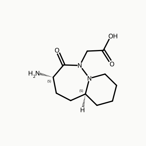 N[C@H]1CC[C@@H]2CCCCN2N(CC(=O)O)C1=O